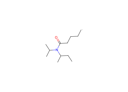 [CH2]CCCC(=O)N(C(C)C)C(C)CC